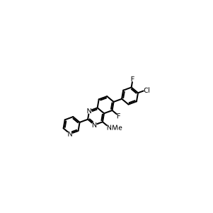 CNc1nc(-c2cccnc2)nc2ccc(-c3ccc(Cl)c(F)c3)c(F)c12